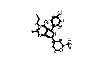 CCCn1c(C)nc2cc(C3CCO[C@H](C(F)F)C3)nc(-c3ccc(Cl)cc3F)c2c1=O